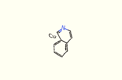 [Cu].c1ccc2cnccc2c1